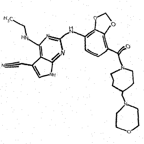 CCNc1nc(Nc2ccc(C(=O)N3CCC(N4CCOCC4)CC3)c3c2OCO3)nc2[nH]cc(C#N)c12